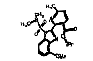 COc1cccc2c1nc(-c1nc(C)ccc1C(=O)OC(C)C)n2S(=O)(=O)N(C)C